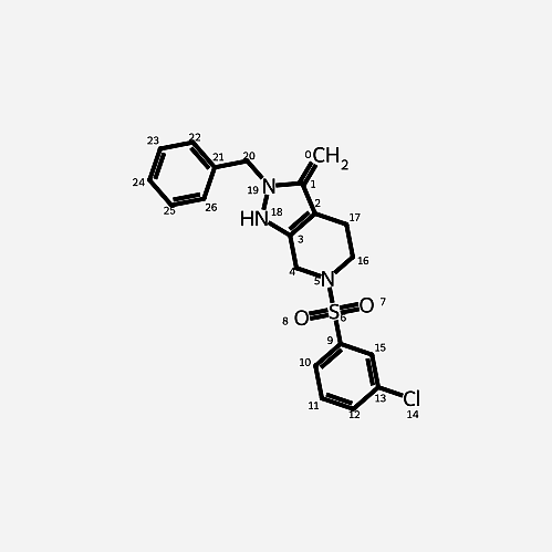 C=C1C2=C(CN(S(=O)(=O)c3cccc(Cl)c3)CC2)NN1Cc1ccccc1